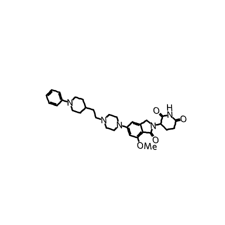 COc1cc(N2CCN(CCC3CCN(c4ccccc4)CC3)CC2)cc2c1C(=O)N(C1CCC(=O)NC1=O)C2